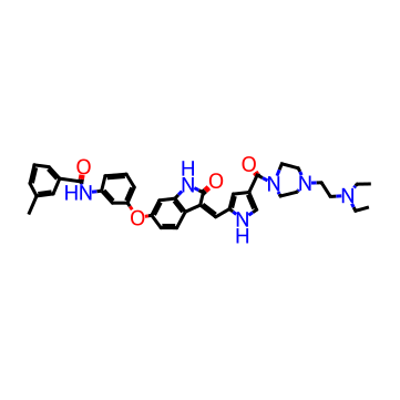 CCN(CC)CCN1CCN(C(=O)c2c[nH]c(C=C3C(=O)Nc4cc(Oc5cccc(NC(=O)c6cccc(C)c6)c5)ccc43)c2)CC1